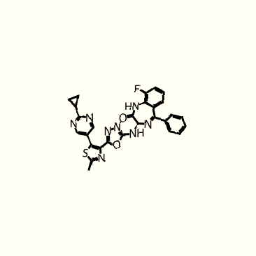 Cc1nc(-c2nnc(N[C@@H]3N=C(c4ccccc4)c4cccc(F)c4NC3=O)o2)c(-c2cnc(C3CC3)nc2)s1